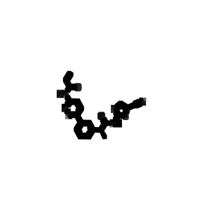 C=CC(=O)Nc1ccc(-c2cccc([C@H](C)C(=O)Nc3ncc(C#N)s3)c2)nn1